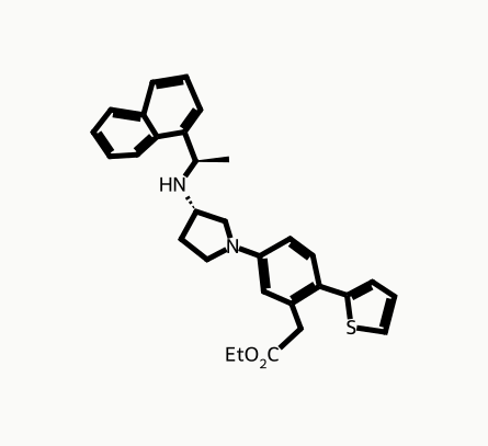 CCOC(=O)Cc1cc(N2CC[C@H](N[C@H](C)c3cccc4ccccc34)C2)ccc1-c1cccs1